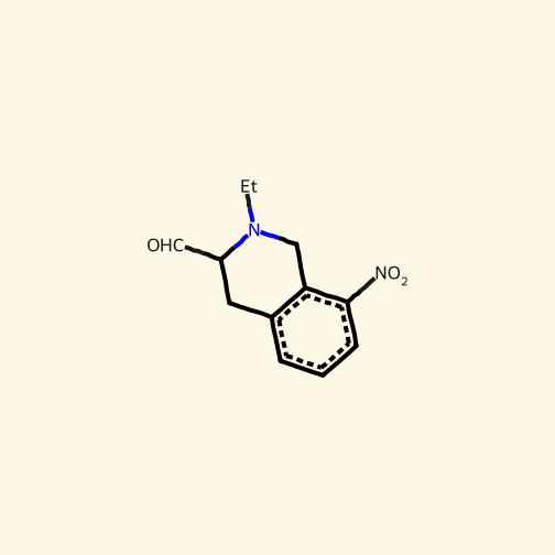 CCN1Cc2c(cccc2[N+](=O)[O-])CC1C=O